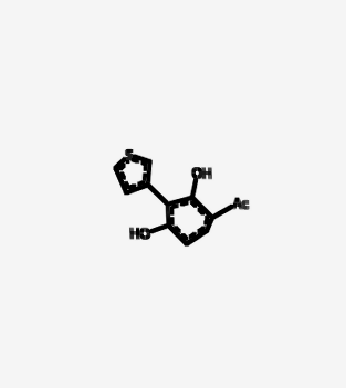 CC(=O)c1ccc(O)c(-c2ccsc2)c1O